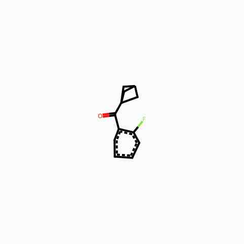 O=C(c1ccccc1F)C12CC(C1)C2